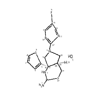 Cl.NC1N[C@@]2(c3cccs3)CN(c3ncc(F)cn3)C[C@H]2CS1